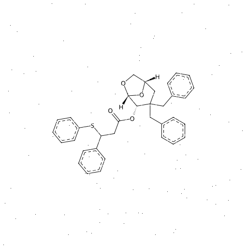 O=C(CC(Sc1ccccc1)c1ccccc1)O[C@@H]1[C@@H]2OC[C@H](CC1(Cc1ccccc1)Cc1ccccc1)O2